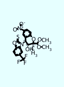 COC(OC)[C@]1(C)Oc2ccc([N+](=O)[O-])cc2[C@H](n2c(=S)oc3ccc(C(F)(F)F)cc32)[C@H]1O